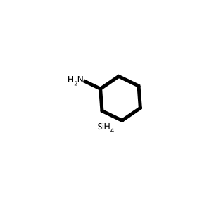 NC1CCCCC1.[SiH4]